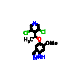 COc1cc2[nH]ncc2cc1O[C@@H](C)c1c(Cl)cncc1Cl